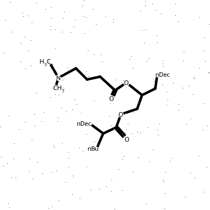 CCCCCCCCCCCC(COC(=O)C(CCCC)CCCCCCCCCC)OC(=O)CCCN(C)C